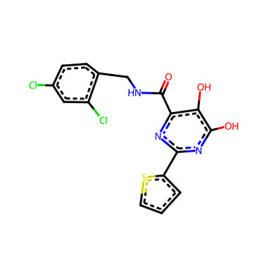 O=C(NCc1ccc(Cl)cc1Cl)c1nc(-c2cccs2)nc(O)c1O